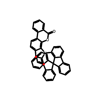 O=c1oc2c(ccc3c4ccccc4n(-c4cccc5c4C4(c6ccccc6-c6ccccc64)c4ccccc4-5)c32)c2ccccc12